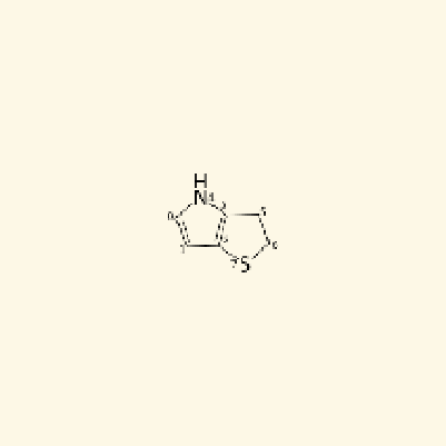 c1cc2c([nH]1)CCS2